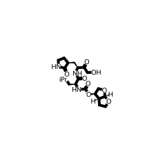 CC(C)C[C@H](NC(=O)O[C@H]1CO[C@H]2OCC[C@H]21)C(=O)N[C@@H](C[C@@H]1CCNC1=O)C(=O)CO